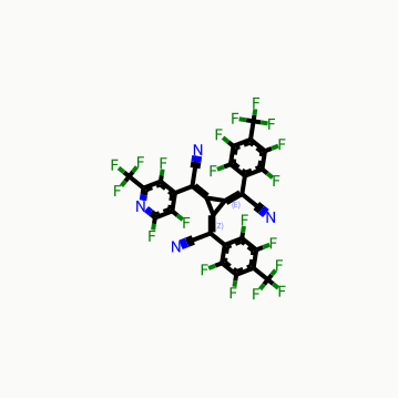 N#CC(=C1C(=C(\C#N)c2c(F)c(F)c(C(F)(F)F)c(F)c2F)/C1=C(\C#N)c1c(F)c(F)c(C(F)(F)F)c(F)c1F)c1c(F)c(F)nc(C(F)(F)F)c1F